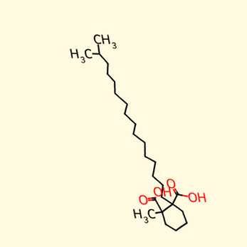 CC(C)CCCCCCCCCCCCCCC1(C(=O)O)CCCCC1(C)C(=O)O